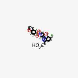 CC(C)Oc1ccc(S(=O)(=O)N2CC(=O)[C@@H](n3nc(CC(=O)O)c4ccc(F)cc43)C2)cc1